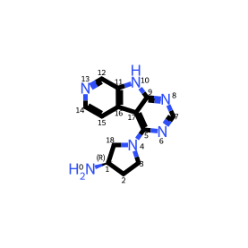 N[C@@H]1CCN(c2ncnc3[nH]c4cnccc4c23)C1